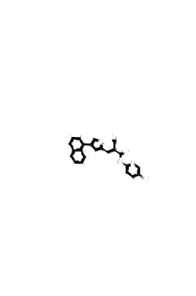 N#C/C(=C\c1cc(-c2cccc3ccccc23)cs1)C(=O)Nc1ccc(Cl)cn1